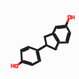 Oc1ccc(C2[CH]c3ccc(O)cc3C2)cc1